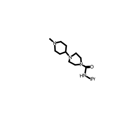 CC(C)NC(=O)N1CCN(C2CCN(C)CC2)CC1